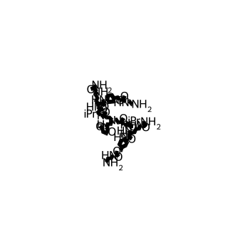 CC(C)C(NC(=O)CCN(CCC(=O)NC(C(=O)NC(CCCNC(N)=O)C(=O)Nc1ccc(COC(=O)NCCN)cc1)C(C)C)CCN1C(=O)C=CC1=O)C(=O)NC(CCCNC(N)=O)C(=O)Nc1ccc(COC(=O)NCCN)cc1